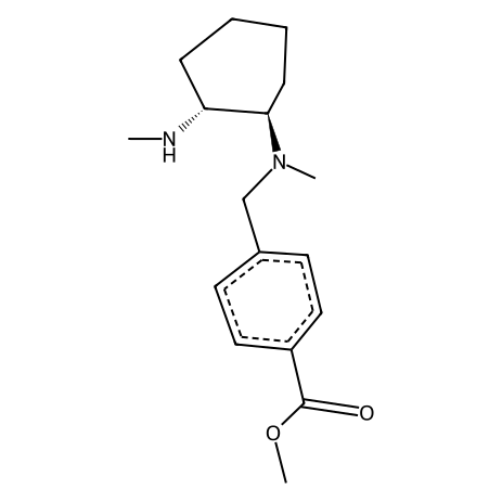 CN[C@@H]1CCCC[C@H]1N(C)Cc1ccc(C(=O)OC)cc1